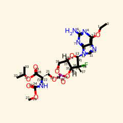 CCOc1nc(N)nc2c1ncn2[C@@H]1O[C@@H]2CO[P@](=O)(OC[C@H](NC(=O)OC)C(=O)OC(C)C)O[C@H]2[C@@]1(C)F